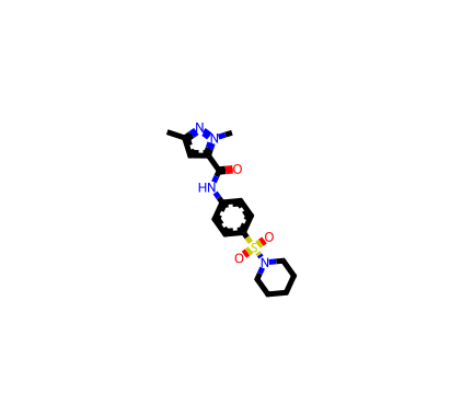 Cc1cc(C(=O)Nc2ccc(S(=O)(=O)N3CCCCC3)cc2)n(C)n1